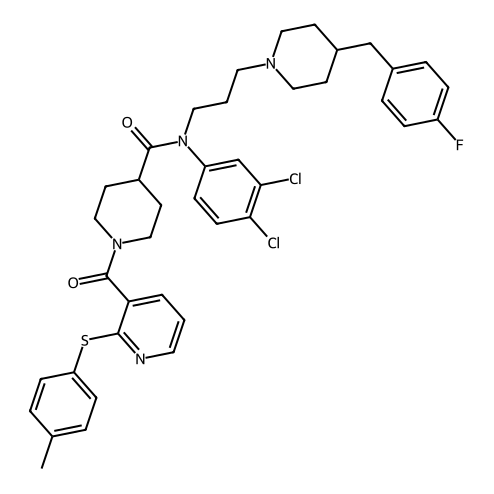 Cc1ccc(Sc2ncccc2C(=O)N2CCC(C(=O)N(CCCN3CCC(Cc4ccc(F)cc4)CC3)c3ccc(Cl)c(Cl)c3)CC2)cc1